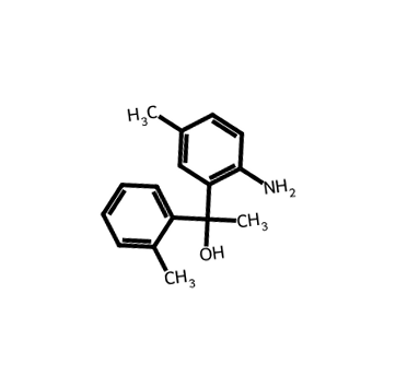 Cc1ccc(N)c(C(C)(O)c2ccccc2C)c1